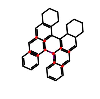 C1=CC2CCCCC2C(c2c(P(c3ccccc3)c3ccccc3)ccc3c2CCCC3)=C1P(c1ccccc1)c1ccccc1